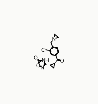 O=C(c1ccc(CN2CC2)c(Cl)c1)[C@H]1C[C@@H]1c1noc(=O)[nH]1